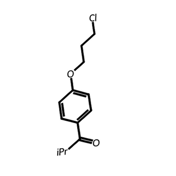 CC(C)C(=O)c1ccc(OCCCCl)cc1